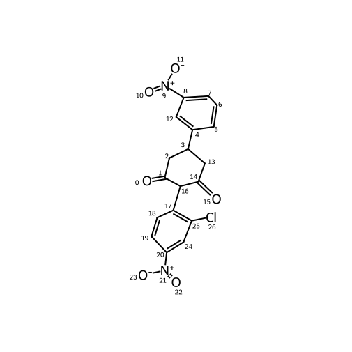 O=C1CC(c2cccc([N+](=O)[O-])c2)CC(=O)C1c1ccc([N+](=O)[O-])cc1Cl